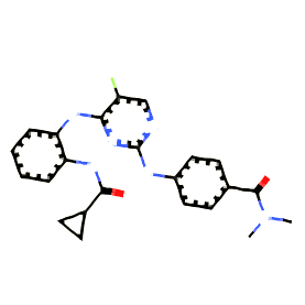 CN(C)C(=O)c1ccc(Nc2ncc(F)c(Nc3ccccc3NC(=O)C3CC3)n2)cc1